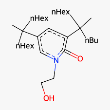 CCCCCCC(C)(CCCCCC)c1cc(C(C)(CCCC)CCCCCC)c(=O)n(CCO)c1